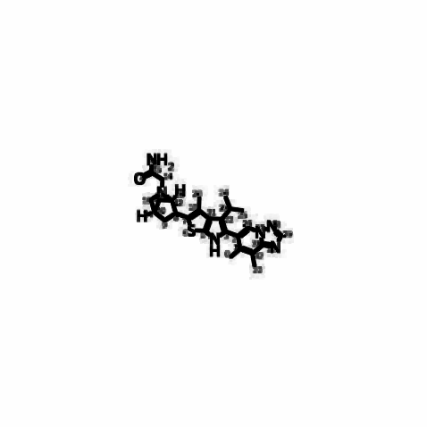 Cc1c(-c2[nH]c3sc(C4C[C@H]5C[C@@H]4N(CC(N)=O)C5)c(C)c3c2C(C)C)cn2ncnc2c1C